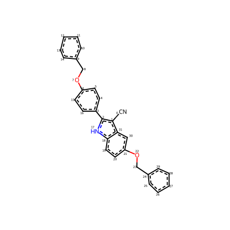 N#Cc1c(-c2ccc(OCc3ccccc3)cc2)[nH]c2ccc(OCc3ccccc3)cc12